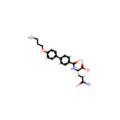 CCCCOc1ccc(-c2ccc(C(=O)N[C@@H](CCC(N)=O)C(=O)O)cc2)cc1